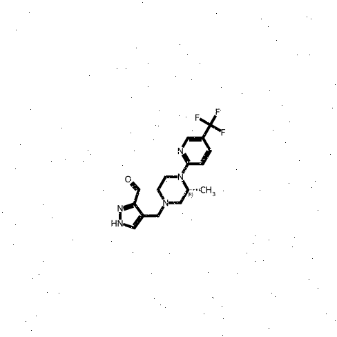 C[C@@H]1CN(Cc2c[nH]nc2C=O)CCN1c1ccc(C(F)(F)F)cn1